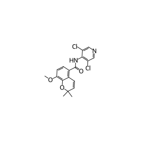 COc1ccc(C(=O)Nc2c(Cl)cncc2Cl)c2c1OC(C)(C)C=C2